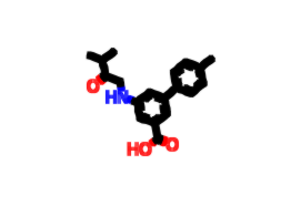 Cc1ccc(-c2cc(NCC(=O)C(C)C)cc(C(=O)O)c2)cc1